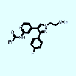 CSCCn1cc(-c2ccnc(NC(=O)C(C)C)c2)c(-c2ccc(F)cc2)n1